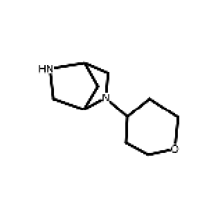 C1CC(N2CC3CC2CN3)CCO1